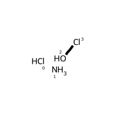 Cl.N.OCl